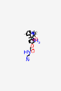 CC(=O)N1c2cc[c]cc2C(C)(c2ccc(OCC(=O)NCCN(C)C)cc2)C(C(N)=O)C1(C)C